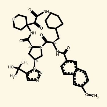 COc1ccc2cc(C(=O)N[C@H](CC3CCCCC3)C(=O)N3C[C@@H](n4nncc4C(C)(C)O)C[C@H]3C(=O)NC3(C(=O)C(N)=O)CCOCC3)ccc2c1